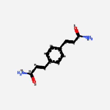 NC(=O)C=Cc1ccc(C=CC(N)=O)cc1